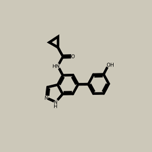 O=C(Nc1cc(-c2cccc(O)c2)cc2[nH]ncc12)C1CC1